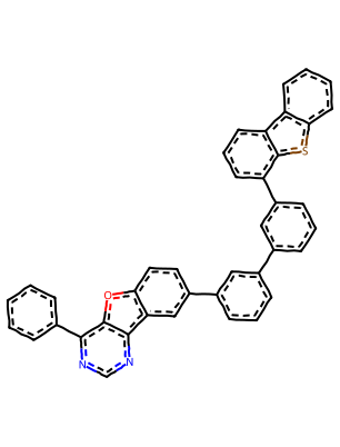 c1ccc(-c2ncnc3c2oc2ccc(-c4cccc(-c5cccc(-c6cccc7c6sc6ccccc67)c5)c4)cc23)cc1